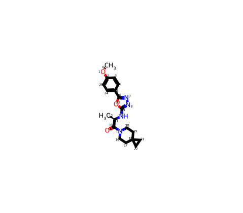 COc1ccc(-c2nnc(N[C@H](C)C(=O)N3CCC4(CC3)CC4)o2)cc1